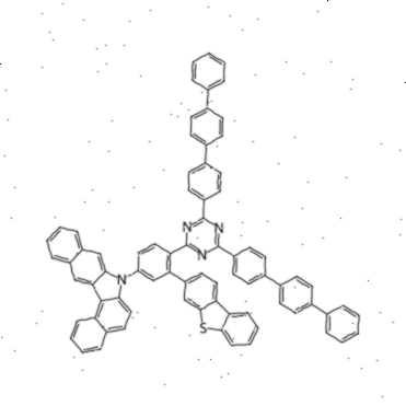 c1ccc(-c2ccc(-c3ccc(-c4nc(-c5ccc(-c6ccc(-c7ccccc7)cc6)cc5)nc(-c5ccc(-n6c7cc8ccccc8cc7c7c8ccccc8ccc76)cc5-c5ccc6c(c5)sc5ccccc56)n4)cc3)cc2)cc1